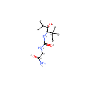 CC(C)C(=O)C(NC(=O)NCC(N)=O)C(C)(C)C